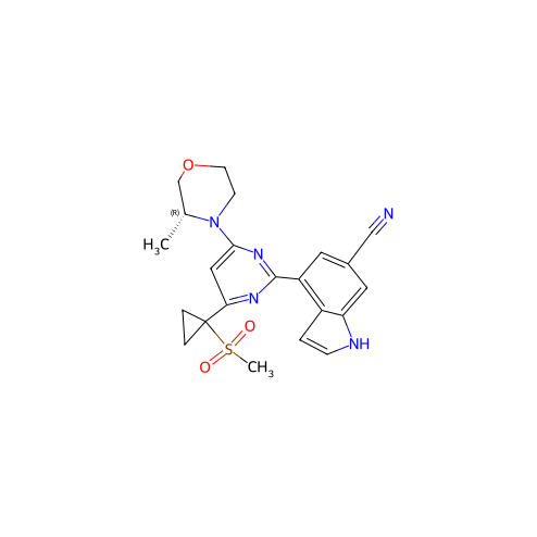 C[C@@H]1COCCN1c1cc(C2(S(C)(=O)=O)CC2)nc(-c2cc(C#N)cc3[nH]ccc23)n1